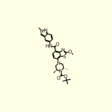 COc1nc2c(C(=O)Nc3ccc4nn(C)cc4c3)ccc(N3C[C@H](C)N(C(=O)OC(C)(C)C)[C@@H](C)C3)c2s1